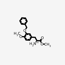 COC(=O)[C@@H](N)Cc1ccc(OC)c(OCc2ccccc2)c1